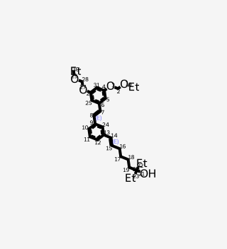 CCOCOc1cc(/C=C/c2cccc(/C=C/CCCCC(O)(CC)CC)c2)cc(OCOCC)c1